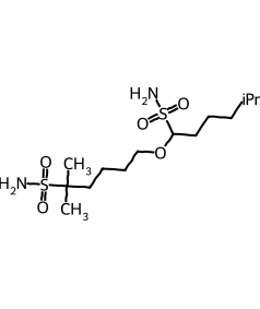 CC(C)CCCC(OCCCCC(C)(C)S(N)(=O)=O)S(N)(=O)=O